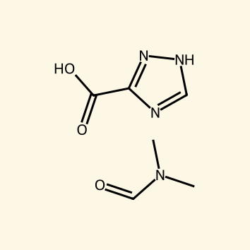 CN(C)C=O.O=C(O)c1nc[nH]n1